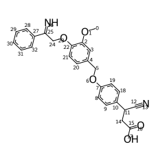 COc1cc(COc2ccc(C(C#N)CC(=O)O)cc2)ccc1OCC(=N)c1ccccc1